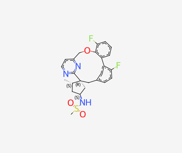 C[C@H]1C[C@H](NS(C)(=O)=O)C[C@]12Cc1ccc(F)c(c1)-c1cccc(F)c1OCc1ccnc2n1